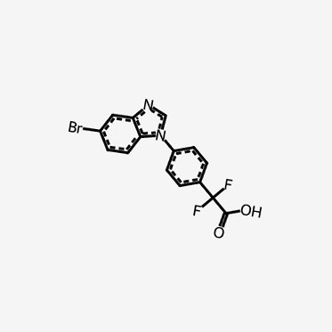 O=C(O)C(F)(F)c1ccc(-n2cnc3cc(Br)ccc32)cc1